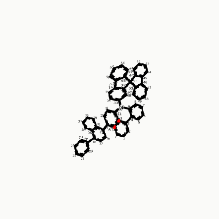 c1ccc(-c2ccccc2N(c2ccc(-c3ccc(-c4ccccc4)c4ccccc34)cc2)c2ccc3c(c2)C2(c4ccccc4-c4ccccc42)c2ccccc2-3)cc1